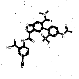 CC(=O)Nc1ccc(-c2cc3c(C(=O)Nc4ccc(C#N)cc4C(=O)O)noc3cc2C(=O)N(C)C)c(C(F)(F)F)c1